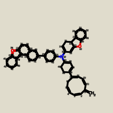 C=C1/C=C\C=C/C/C(C2=CC=C(N(C3=CCC4C(=C3)Oc3ccccc34)c3ccc(-c4ccc5c(ccc6oc7ccccc7c65)c4)cc3)CC2)=C\C=C/1